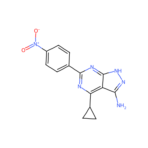 Nc1n[nH]c2nc(-c3ccc([N+](=O)[O-])cc3)nc(C3CC3)c12